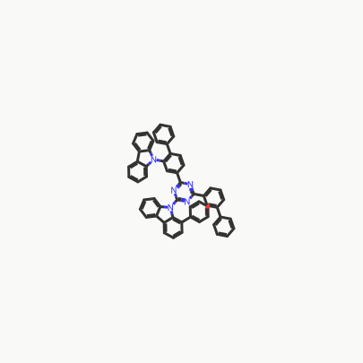 c1ccc(-c2cccc(-c3nc(-c4ccc(-c5ccccc5)c(-n5c6ccccc6c6ccccc65)c4)nc(-n4c5ccccc5c5cccc(-c6ccccc6)c54)n3)c2)cc1